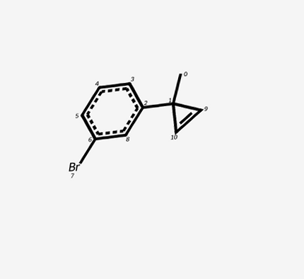 CC1(c2cccc(Br)c2)C=C1